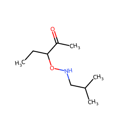 CCC(ONCC(C)C)C(C)=O